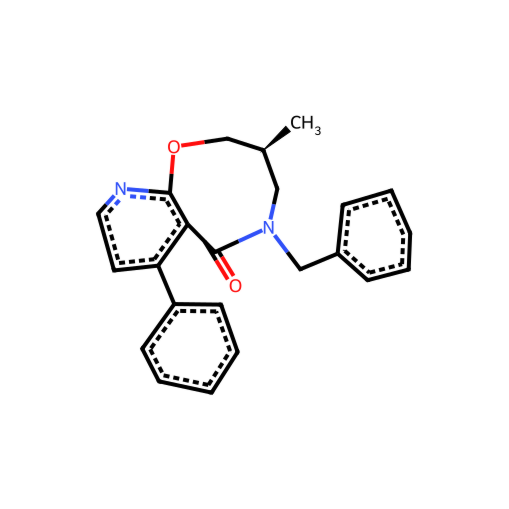 C[C@@H]1COc2nccc(-c3ccccc3)c2C(=O)N(Cc2ccccc2)C1